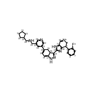 Fc1ccccc1C1CN=Cc2[nH]c(C3=NNC4=CC=C(c5cncc(CNCC6CCCC6)c5)CC43)nc21